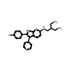 CCC(CC)CNc1ccc2c(-c3ccncc3)c(-c3ccc(F)cc3)[nH]c2n1